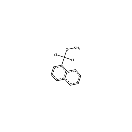 [SiH3]OC(Cl)(Cl)c1cccc2ccccc12